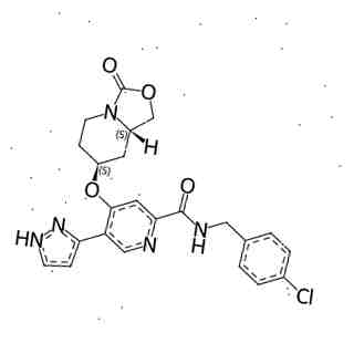 O=C(NCc1ccc(Cl)cc1)c1cc(O[C@H]2CCN3C(=O)OC[C@@H]3C2)c(-c2cc[nH]n2)cn1